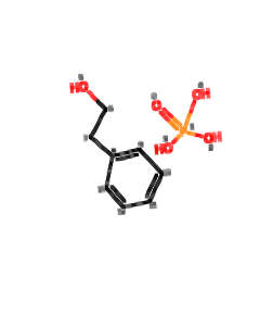 O=P(O)(O)O.OCCc1ccccc1